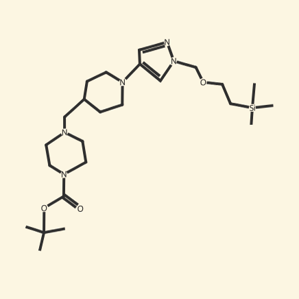 CC(C)(C)OC(=O)N1CCN(CC2CCN(c3cnn(COCC[Si](C)(C)C)c3)CC2)CC1